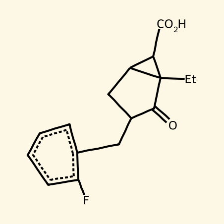 CCC12C(=O)C(Cc3ccccc3F)CC1C2C(=O)O